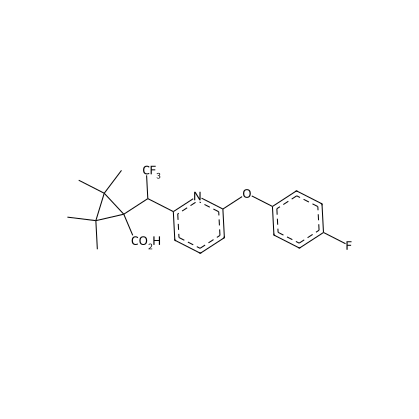 CC1(C)C(C)(C)C1(C(=O)O)C(c1cccc(Oc2ccc(F)cc2)n1)C(F)(F)F